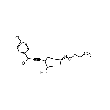 O=C(O)CCON=C1CC2C1CC(C#CC(O)c1ccc(Cl)cc1)C2O